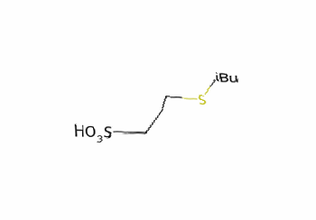 CCC(C)SCCS(=O)(=O)O